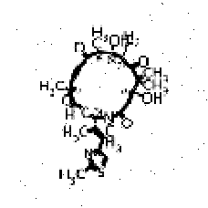 CC(=Cc1csc(C)n1)[C@@H]1C[C@@H]2O[C@]2(C)C=CC(=O)[C@H](C)[C@H](O)[C@@H](C)C(=O)C(C)(C)[C@@H](O)CC(=O)N1C